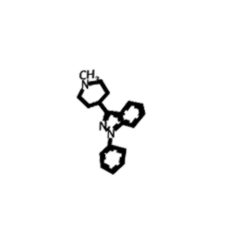 CN1CCC(c2nn(-c3ccccc3)c3ccccc23)CC1